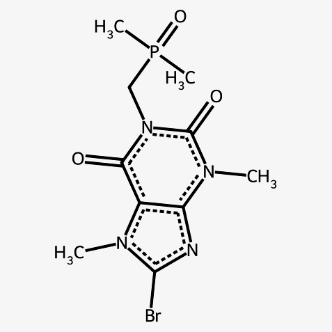 Cn1c(Br)nc2c1c(=O)n(CP(C)(C)=O)c(=O)n2C